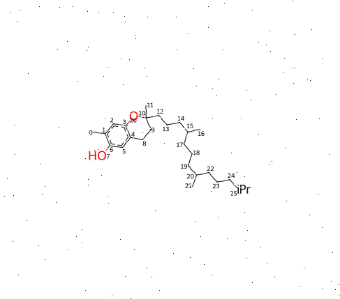 Cc1cc2c(cc1O)CCC(C)(CCCC(C)CCCC(C)CCCC(C)C)O2